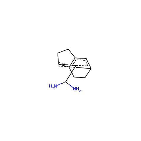 NC(N)c1c2cc3c(c1CC3)CC2